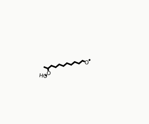 COCCCCCCCCCC(C)OO